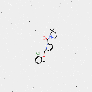 Cc1cccc(Cl)c1OCc1cccc(C(=O)N2CCCC(C)(C)C2)n1